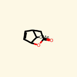 COC1C2C=CC1OC(=O)C2